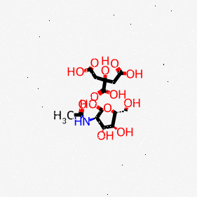 CC(=O)N[C@H]1C(O)O[C@H](CO)[C@@H](O)[C@@H]1O.O=C(O)CC(O)(CC(=O)O)C(=O)O